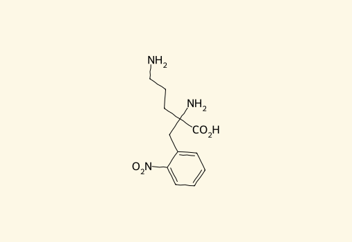 NCCCC(N)(Cc1ccccc1[N+](=O)[O-])C(=O)O